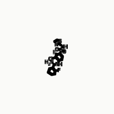 N[C@H](Nc1ccc(S(=O)(=O)Nc2nccs2)c(F)c1Cl)c1ccccc1F